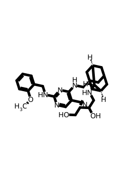 COc1ccccc1CNc1ncc(C#N)c(NC[C@]23CC4C[C@H](C2)[C@@H](NCC(O)CCO)[C@@H](C4)C3)n1